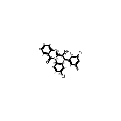 NC(Cc1cc(F)cc(F)c1)c1nc2ccccc2c(=O)n1-c1ccc(Cl)cc1